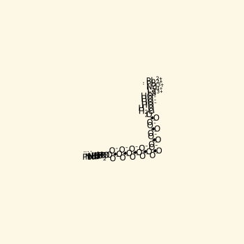 O.O.O.O=C([O-])[O-].O=C([O-])[O-].O=C([O-])[O-].O=C([O-])[O-].O=C([O-])[O-].O=C([O-])[O-].O=C([O-])[O-].O=C([O-])[O-].[La+3].[La+3].[La+3].[Nd+3].[Nd+3].[Nd+3].[OH-].[OH-].[OH-].[OH-].[OH-].[OH-].[OH-].[OH-].[Pb+2].[Pb+2].[Pb+2]